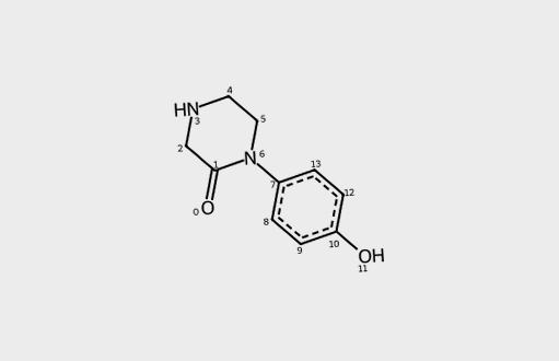 O=C1CNCCN1c1ccc(O)cc1